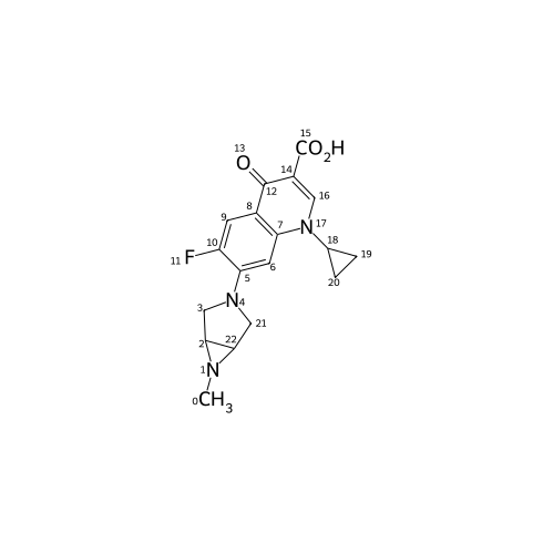 CN1C2CN(c3cc4c(cc3F)c(=O)c(C(=O)O)cn4C3CC3)CC21